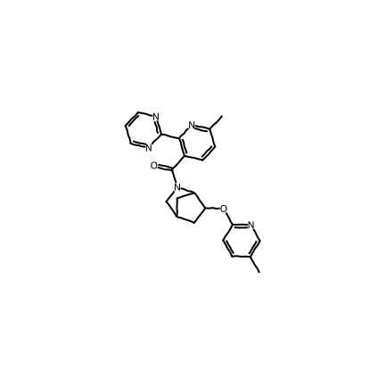 Cc1ccc(OC2CC3CC2N(C(=O)c2ccc(C)nc2-c2ncccn2)C3)nc1